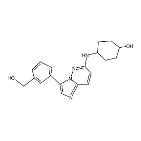 OCc1cccc(-c2cnc3ccc(NC4CCC(O)CC4)nn23)c1